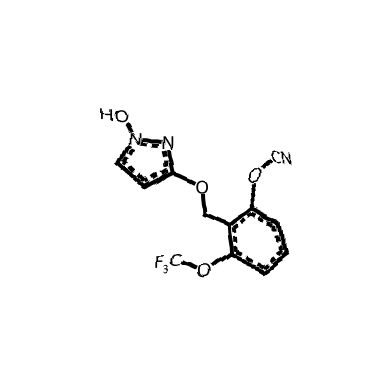 N#COc1cccc(OC(F)(F)F)c1COc1ccn(O)n1